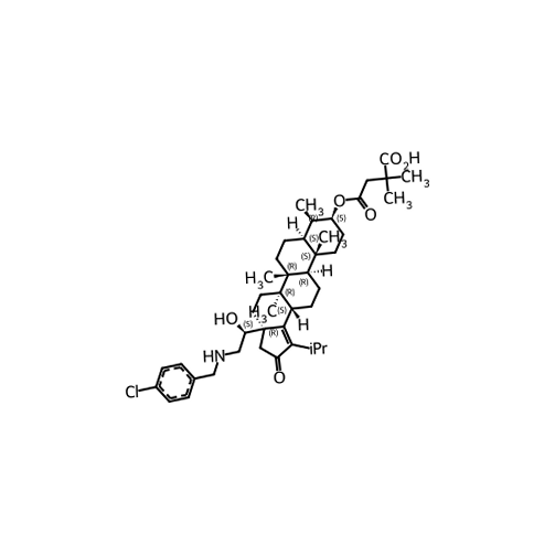 CC(C)C1=C2[C@H]3CC[C@@H]4[C@@]5(C)CC[C@H](OC(=O)CC(C)(C)C(=O)O)[C@H](C)[C@@H]5CC[C@@]4(C)[C@]3(C)CC[C@@]2([C@H](O)CNCc2ccc(Cl)cc2)CC1=O